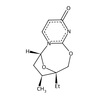 CC[C@@]12COc3nc(=O)ccn3[C@@H](C[C@@H]1C)O2